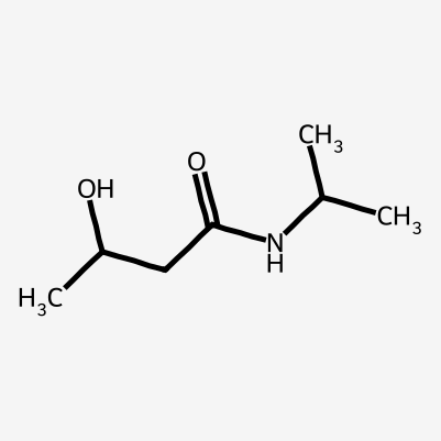 CC(O)CC(=O)NC(C)C